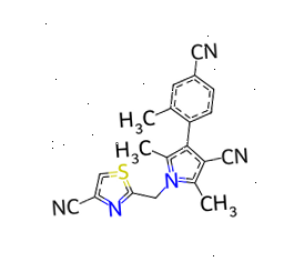 Cc1cc(C#N)ccc1-c1c(C#N)c(C)n(Cc2nc(C#N)cs2)c1C